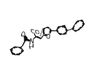 O=C(O)/C(=C\c1ccc(-c2ccc(-c3ccccc3)cc2)o1)NC(=O)c1ccccc1